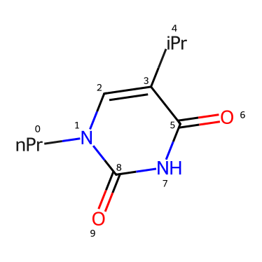 CCCn1cc(C(C)C)c(=O)[nH]c1=O